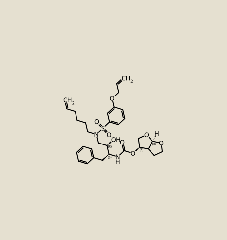 C=CCCCCN(C[C@@H](O)[C@H](Cc1ccccc1)NC(=O)O[C@H]1CO[C@H]2OCCC21)S(=O)(=O)c1cccc(OCC=C)c1